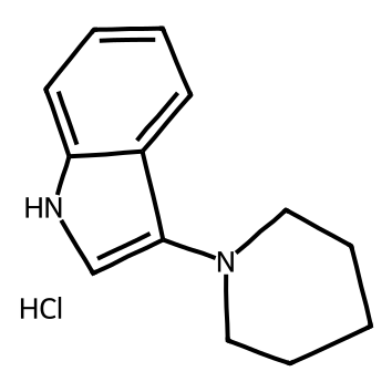 Cl.c1ccc2c(N3CCCCC3)c[nH]c2c1